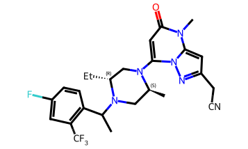 CC[C@@H]1CN(c2cc(=O)n(C)c3cc(CC#N)nn23)[C@@H](C)CN1C(C)c1ccc(F)cc1C(F)(F)F